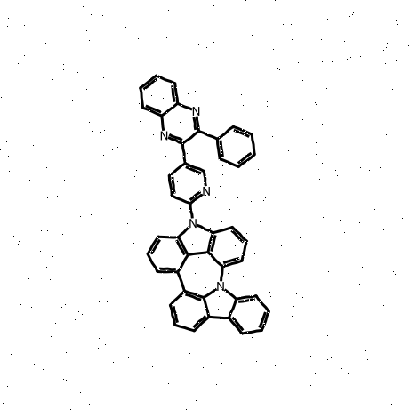 c1ccc(-c2nc3ccccc3nc2-c2ccc(-n3c4cccc5c6cccc7c8ccccc8n(c8cccc3c8c54)c67)nc2)cc1